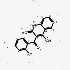 O=C(c1ccccc1Cl)c1c(O)c2ccccc2[nH]c1=O